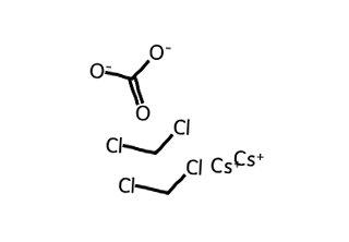 ClCCl.ClCCl.O=C([O-])[O-].[Cs+].[Cs+]